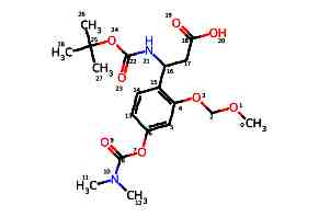 COCOc1cc(OC(=O)N(C)C)ccc1C(CC(=O)O)NC(=O)OC(C)(C)C